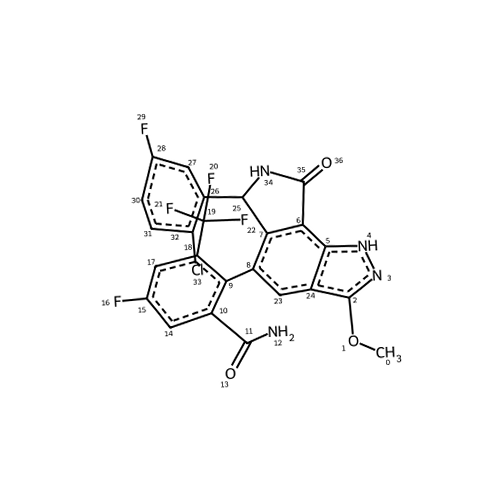 COc1n[nH]c2c3c(c(-c4c(C(N)=O)cc(F)cc4C(F)(F)F)cc12)C(c1cc(F)ccc1Cl)NC3=O